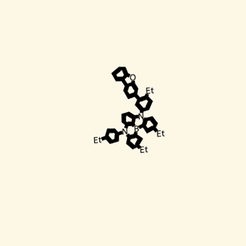 CCc1ccc(N2c3ccc(CC)cc3B3c4cc(CC)ccc4N(c4ccc(CC)c(-c5ccc6c(c5)oc5ccccc56)c4)c4cccc2c43)cc1